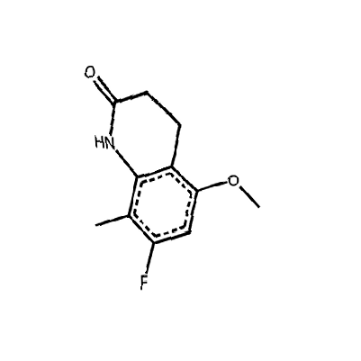 COc1cc(F)c(C)c2c1CCC(=O)N2